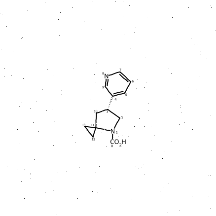 O=C(O)N1C[C@@H](c2cccnc2)CC12CC2